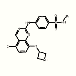 CC(C)NS(=O)(=O)c1ccc(Nc2ncc3c(Cl)ccc(OC4CNC4)c3n2)cc1